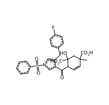 CC1(C(=O)O)C=CC(C(=O)c2cn(S(=O)(=O)c3ccccc3)cc2Cc2ccc(F)cc2)C(O)(C(=O)O)C1